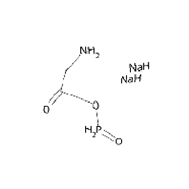 NCC(=O)O[PH2]=O.[NaH].[NaH]